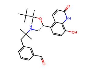 CC(C)(Cc1cccc(C=O)c1)NC[C@H](O[Si](C)(C)C(C)(C)C)c1ccc(O)c2[nH]c(=O)ccc12